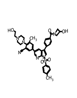 Cc1ccc(S(=O)(=O)n2cc(-c3ccc(C(=O)N4CC(O)C4)cc3)c3cc(-c4cc(C)c(N5CCN(CCO)CC5)c(C#N)c4)cnc32)cc1